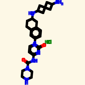 Cl.NC1CC2(C1)CC(NC1CCc3cc(-n4ccc(NC(=O)N5CCNCC5)nc4=O)ccc3C1)C2